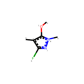 COc1c(C)c(F)nn1C